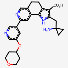 NC1(Cc2[nH]c3c(c2C(=O)O)CCc2cnc(-c4cncc(OC5CCOCC5)c4)cc2-3)CC1